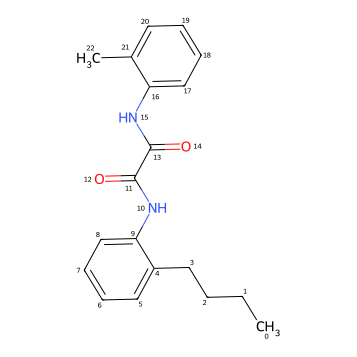 CCCCc1ccccc1NC(=O)C(=O)Nc1ccccc1C